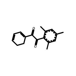 Cc1cc(C)c(C(=O)C(=O)C2=CC=CCC2)c(C)c1